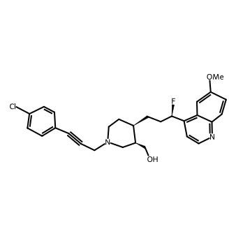 COc1ccc2nccc([C@H](F)CC[C@@H]3CCN(CC#Cc4ccc(Cl)cc4)C[C@@H]3CO)c2c1